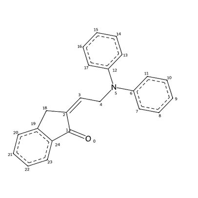 O=C1/C(=C\CN(c2ccccc2)c2ccccc2)Cc2ccccc21